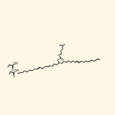 CCC(=O)O.CCC(=O)O.CCCCCCCCC=CCCCCCCCC(CCCCCCCC=CCCCCCCCC)OC(=O)OCCCN(C)C